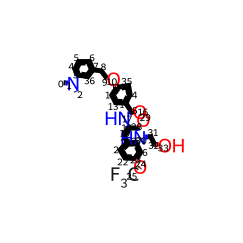 CN(C)c1cccc(CCOc2ccc(C(=O)NC(=Cc3ccc(OC(F)(F)F)cc3)C(=O)NCCO)cc2)c1